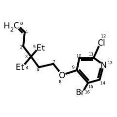 C=CCC(CC)(CC)CCOc1cc(Cl)ncc1Br